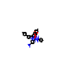 Cc1ccc(-c2ccc3c(c2)c2cc(-c4ccc(C)cc4)ccc2n3-c2cc(C#N)ccc2-c2nc(-c3ccccc3)nc(-c3ccccc3)n2)cc1